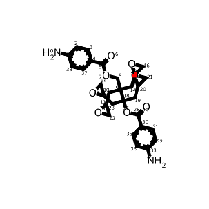 Nc1ccc(C(=O)OCC(CC2CO2)(CC2CO2)C(CC2CO2)(CC2CO2)OC(=O)c2ccc(N)cc2)cc1